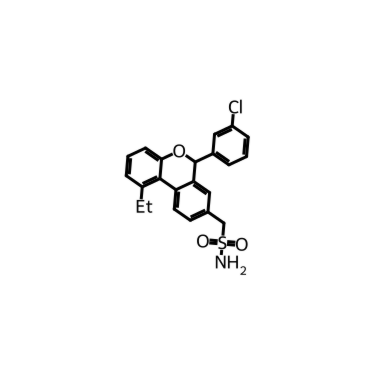 CCc1cccc2c1-c1ccc(CS(N)(=O)=O)cc1C(c1cccc(Cl)c1)O2